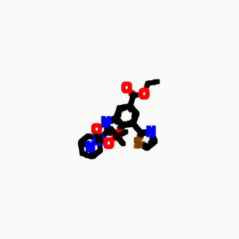 CCOC(=O)c1cc(-c2nccs2)c2oc(N3CC4CC(C3)N4C(=O)OC(C)(C)C)nc2c1